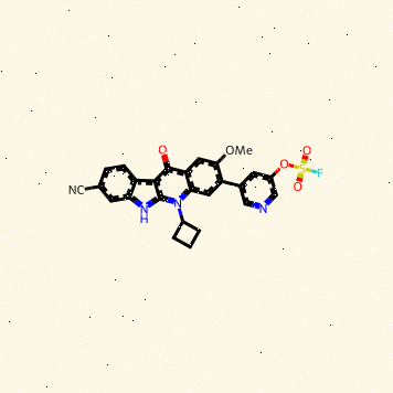 COc1cc2c(=O)c3c4ccc(C#N)cc4[nH]c3n(C3CCC3)c2cc1-c1cncc(OS(=O)(=O)F)c1